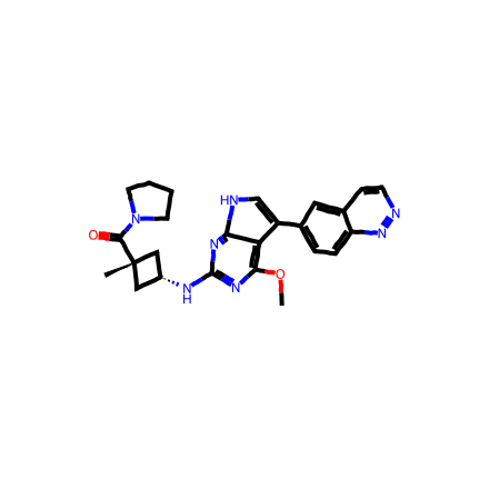 COc1nc(N[C@H]2C[C@@](C)(C(=O)N3CCCC3)C2)nc2[nH]cc(-c3ccc4nnccc4c3)c12